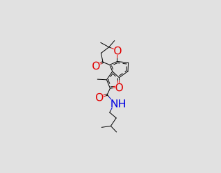 Cc1c(C(=O)NCCC(C)C)oc2ccc3c(c12)C(=O)CC(C)(C)O3